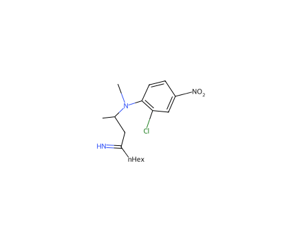 CCCCCCC(=N)CC(C)N(C)c1ccc([N+](=O)[O-])cc1Cl